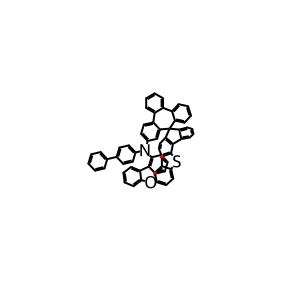 c1ccc(-c2ccc(N(c3ccc4c(c3)C3(c5ccccc5-c5ccccc5-4)c4ccccc4-c4c3ccc3c4sc4ccccc43)c3cccc4oc5ccccc5c34)cc2)cc1